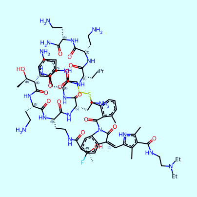 CCN(CC)CCNC(=O)c1c(C)[nH]c(/C=C2\C(=O)N(C(=O)c3c(C)cccc3CSSCC(=O)N[C@@H](CCN)C(=O)N[C@H](C(=O)N[C@@H](CCN)C(=O)N[C@@H](CCNC(=O)C[C@@H](C)O)C(=O)N[C@@H](CCN)C(=O)N[C@H](Cc3ccccc3)C(=O)N[C@@H](CC(C)C)C(=O)N[C@@H](CCN)C(=O)N[C@@H](CCN)C(N)=O)[C@@H](C)O)c3ccc(F)cc32)c1C